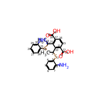 CC(Sc1ccccc1N)c1c(C(=O)O)ccc(C(=O)O)c1C(C)Sc1ccccc1N